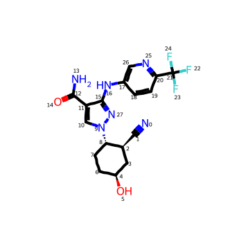 N#C[C@H]1C[C@@H](O)CC[C@@H]1n1cc(C(N)=O)c(Nc2ccc(C(F)(F)F)nc2)n1